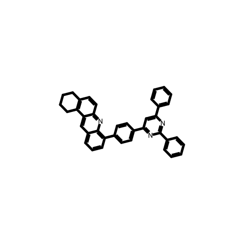 c1ccc(-c2cc(-c3ccc(-c4cccc5cc6c7c(ccc6nc45)CCCC7)cc3)nc(-c3ccccc3)n2)cc1